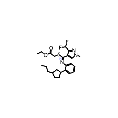 CCCC1CCC(c2ccccc2/N=C(/SCC(=O)OCC)c2cn(C)nc2C(F)F)C1